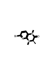 C[C@@H]1C(=O)N(C)c2ccc(Br)nc2N1C